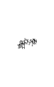 C[C@H](Sc1nncn1C)c1cccc(NC(=O)N2CCC2)c1